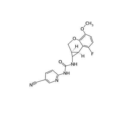 COc1ccc(F)c2c1OC[C@@H]1C(NC(=O)Nc3ccc(C#N)cn3)[C@H]21